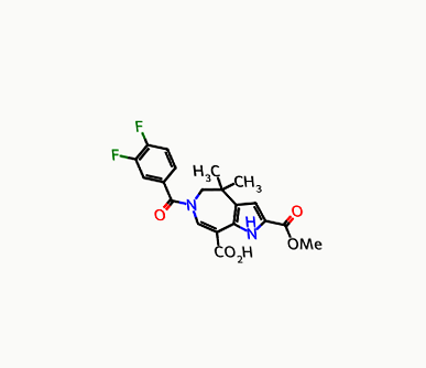 COC(=O)c1cc2c([nH]1)C(C(=O)O)=CN(C(=O)c1ccc(F)c(F)c1)CC2(C)C